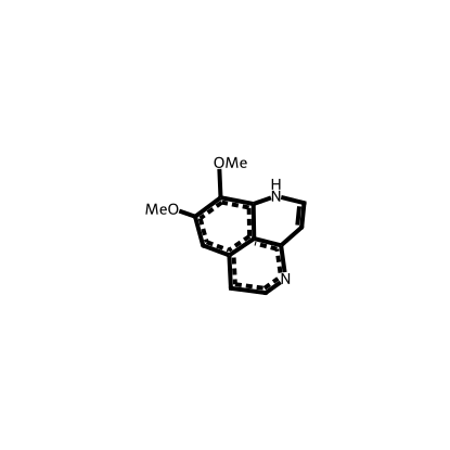 COc1cc2ccnc3c2c(c1OC)NC=C3